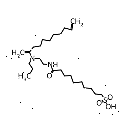 C=CCCCCCCCC(=C)N(CCC)CCNC(=O)CCCCCCCCCS(=O)(=O)O